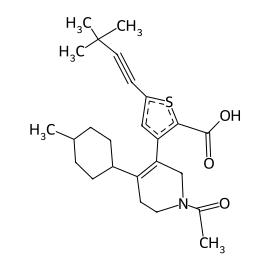 CC(=O)N1CCC(C2CCC(C)CC2)=C(c2cc(C#CC(C)(C)C)sc2C(=O)O)C1